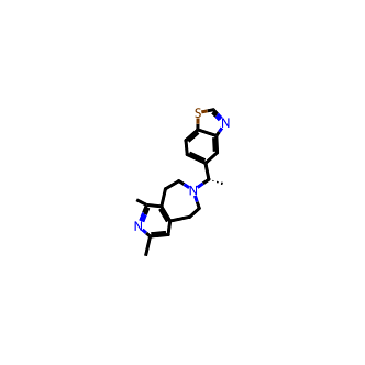 Cc1cc2c(c(C)n1)CCN([C@@H](C)c1ccc3scnc3c1)CC2